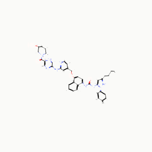 CCCCc1cc(NC(=O)Nc2ccc(OCc3ccnc(Nc4cnc(C(=O)N5CCCC(O)C5)cn4)c3)c3ccccc23)n(-c2ccc(C)cc2)n1